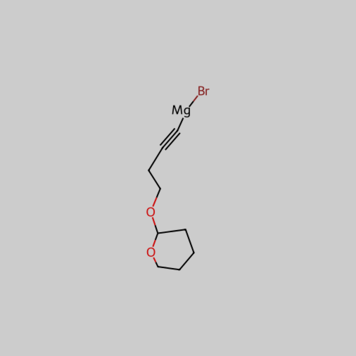 [Br][Mg][C]#CCCOC1CCCCO1